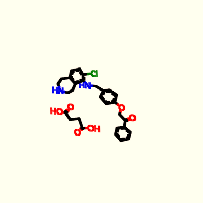 O=C(COc1ccc(CNc2c(Cl)ccc3c2CCNCC3)cc1)c1ccccc1.O=C(O)CCC(=O)O